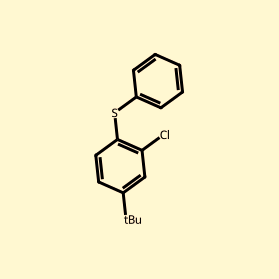 CC(C)(C)c1ccc(Sc2ccccc2)c(Cl)c1